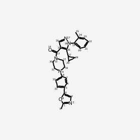 Cc1ncc(-c2ccc(N3CCN(C(=O)c4cnn(-c5ccccc5C)c4C4CC4)CC3)cc2)o1